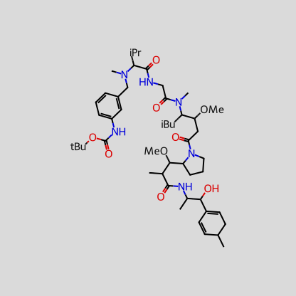 CCC(C)C(C(CC(=O)N1CCCC1C(OC)C(C)C(=O)NC(C)C(O)C1=CCC(C)C=C1)OC)N(C)C(=O)CNC(=O)C(C(C)C)N(C)Cc1cccc(NC(=O)OC(C)(C)C)c1